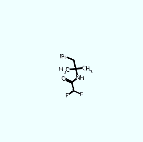 CC(C)CC(C)(C)NC(=O)C(F)F